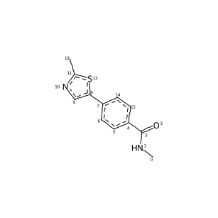 CNC(=O)c1ccc(-c2cnc(C)s2)cc1